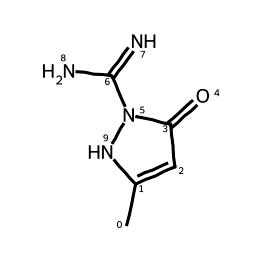 Cc1cc(=O)n(C(=N)N)[nH]1